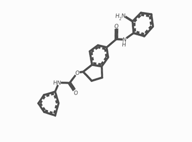 Nc1ccccc1NC(=O)c1ccc2c(c1)CCC2OC(=O)Nc1ccccc1